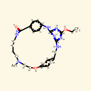 CC(=O)N1CCCCNC(=O)c2ccc(cc2)Nc2nc(nc(OCC(F)(F)F)n2)NCc2ccc(cc2)OCC1